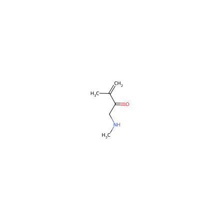 C=C(C)C(=O)CNC